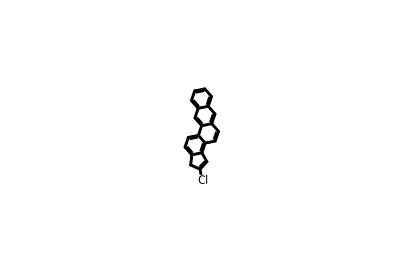 ClC1=Cc2c(ccc3c2ccc2cc4ccccc4cc23)C1